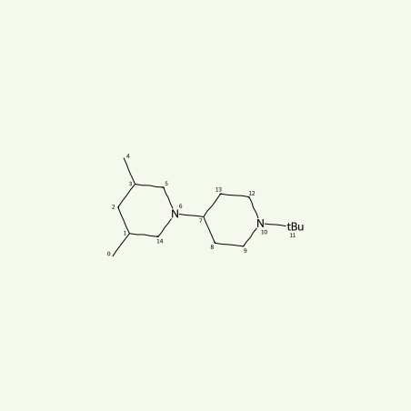 CC1CC(C)CN(C2CCN(C(C)(C)C)CC2)C1